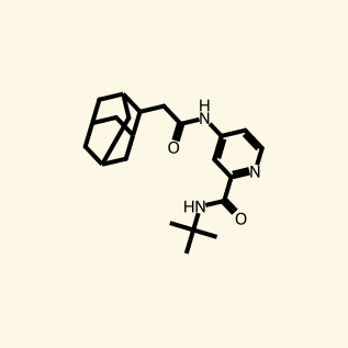 CC(C)(C)NC(=O)c1cc(NC(=O)CC2C3CC4CC(C3)CC2C4)ccn1